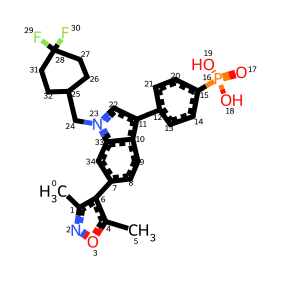 Cc1noc(C)c1-c1ccc2c(-c3ccc(P(=O)(O)O)cc3)cn(CC3CCC(F)(F)CC3)c2c1